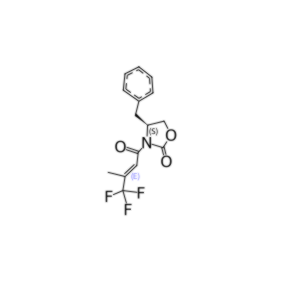 C/C(=C\C(=O)N1C(=O)OC[C@@H]1Cc1ccccc1)C(F)(F)F